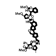 COC[C@H]1C[C@@H](c2nc3ccc4cc5c(cc4c3[nH]2)OCc2cc(-c3cnc([C@@H]4C[C@H](C)CN4C(=O)[C@@H](NC(=O)OC)C(C)C)[nH]3)ccc2-5)N(C(=O)C(NC(=O)OC)c2ccccc2)C1